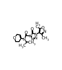 Cc1noc(C)c1-n1nnn(C(=O)N(C2=CCOCC2)C(C)C)c1=O